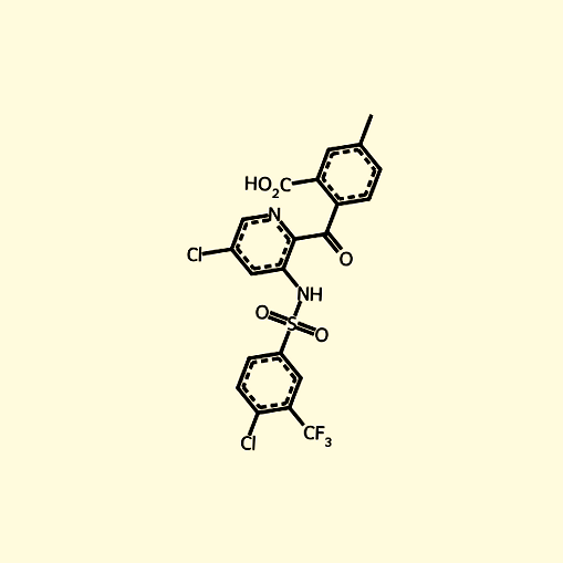 Cc1ccc(C(=O)c2ncc(Cl)cc2NS(=O)(=O)c2ccc(Cl)c(C(F)(F)F)c2)c(C(=O)O)c1